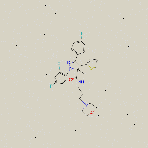 CC1(C(=O)NCCCN2CCOCC2)C(c2cccs2)C(c2ccc(F)cc2)=NN1c1ccc(F)cc1F